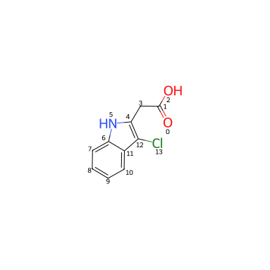 O=C(O)Cc1[nH]c2ccccc2c1Cl